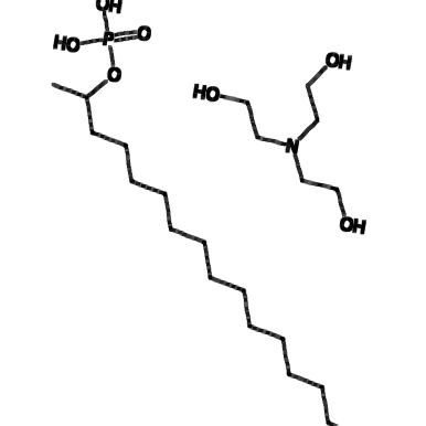 CCCCCCCCCCCCCCC(C)OP(=O)(O)O.OCCN(CCO)CCO